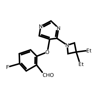 CCC1(CC)CN(c2ncncc2Oc2ccc(F)cc2C=O)C1